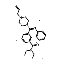 C=CCN1CCN(C(=Nc2ccccc2)c2cccc(C(=O)N(CC)CC)c2)CC1